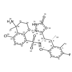 Cc1c(F)ccc(Cl)c1[C@@H](C)[C@H](NS(=O)(=O)c1ccc(Cl)c2c1OCCC2(C)N)c1n[nH]c(=O)o1